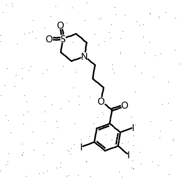 O=C(OCCCN1CCS(=O)(=O)CC1)c1cc(I)cc(I)c1I